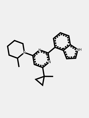 CC1CCCCN1c1cc(C2(C)CC2)nc(-c2cccc3[nH]ccc23)n1